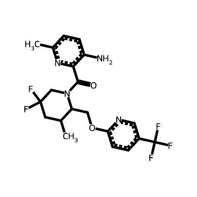 Cc1ccc(N)c(C(=O)N2CC(F)(F)CC(C)C2COc2ccc(C(F)(F)F)cn2)n1